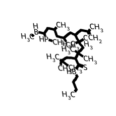 C=C(C)CC(CC(C)CC(C)CC(BC)PC)C(C)(C)CC(C)(C)C(CC(C)(C)C)C(=S)BCCCC